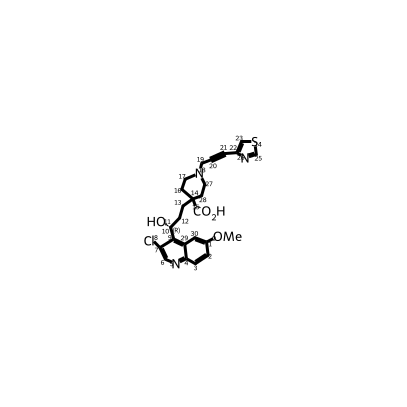 COc1ccc2ncc(Cl)c([C@H](O)CCC3(C(=O)O)CCN(CC#Cc4cscn4)CC3)c2c1